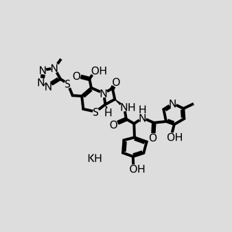 Cc1cc(O)c(C(=O)NC(C(=O)N[C@@H]2C(=O)N3C(C(=O)O)=C(CSc4nnnn4C)CS[C@H]23)c2ccc(O)cc2)cn1.[KH]